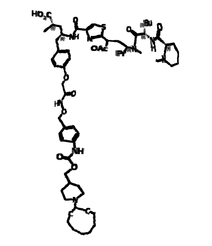 CC[C@@H](C)[C@H](NC(=O)[C@H]1CCCCN1C)C(=O)N(C)[C@H](CC(OC(C)=O)c1nc(C(=O)N[C@@H](Cc2ccc(OCC(=O)NOCc3ccc(NC(=O)OCC4CCN(C5CCCCCCCC5)CC4)cc3)cc2)C[C@H](C)C(=O)O)cs1)C(C)C